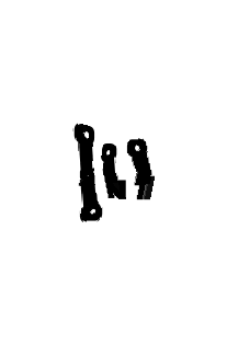 O=[Si]=O.[O]=[Ni].[O]=[Ti]